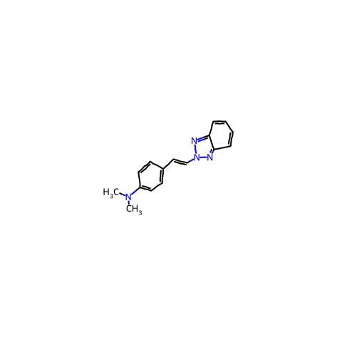 CN(C)c1ccc(C=Cn2nc3ccccc3n2)cc1